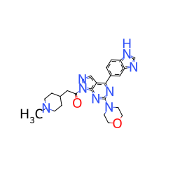 CN1CCC(CC(=O)n2ncc3c(-c4ccc5[nH]cnc5c4)nc(N4CCOCC4)nc32)CC1